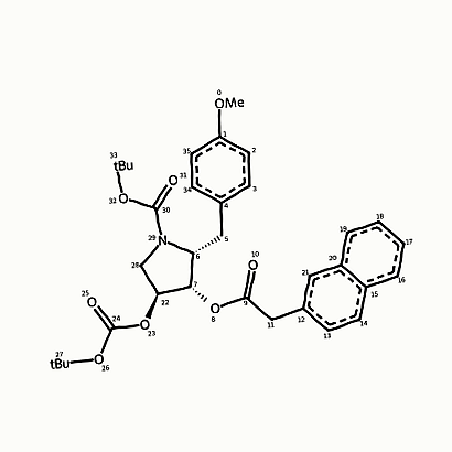 COc1ccc(C[C@@H]2[C@H](OC(=O)Cc3ccc4ccccc4c3)[C@@H](OC(=O)OC(C)(C)C)CN2C(=O)OC(C)(C)C)cc1